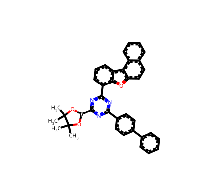 CC1(C)OB(c2nc(-c3ccc(-c4ccccc4)cc3)nc(-c3cccc4c3oc3ccc5ccccc5c34)n2)OC1(C)C